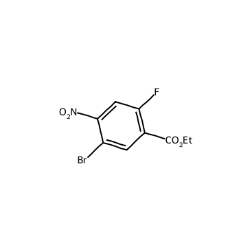 CCOC(=O)c1cc(Br)c([N+](=O)[O-])cc1F